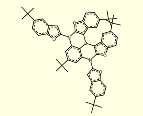 CC(C)(C)c1cc2c3c(c1)N(c1cc4cc(C(C)(C)C)ccc4o1)c1oc4ccc(C(C)(C)C)cc4c1B3c1c(oc3ccc(C(C)(C)C)cc13)N2c1cc2cc(C(C)(C)C)ccc2o1